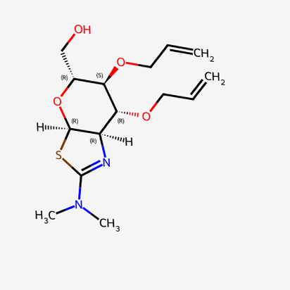 C=CCO[C@@H]1[C@H]2N=C(N(C)C)S[C@H]2O[C@H](CO)[C@H]1OCC=C